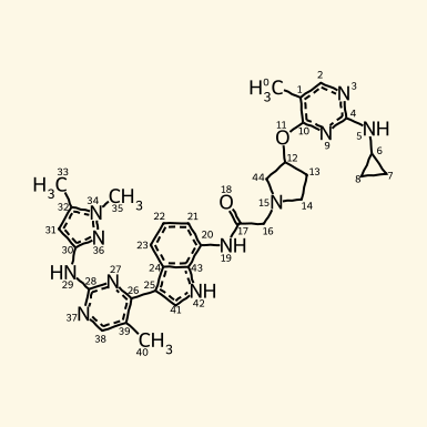 Cc1cnc(NC2CC2)nc1OC1CCN(CC(=O)Nc2cccc3c(-c4nc(Nc5cc(C)n(C)n5)ncc4C)c[nH]c23)C1